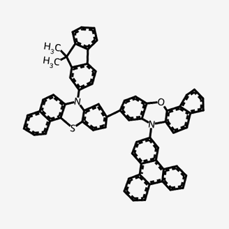 CC1(C)c2ccccc2-c2ccc(N3c4cc(-c5ccc6c(c5)N(c5ccc7c8ccccc8c8ccccc8c7c5)c5ccc7ccccc7c5O6)ccc4Sc4c3ccc3ccccc43)cc21